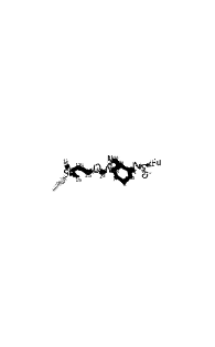 CC(C)(C)[S+]([O-])/N=C1\CCCc2c1cnn2COCC[Si](C)(C)C